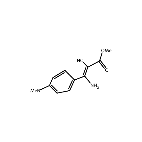 CNc1ccc(/C(N)=C(\C#N)C(=O)OC)cc1